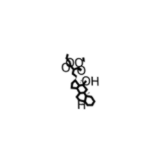 CCOC(=O)C(CC[C@H]1CCC2C3CC[C@@H]4CCCC[C@]4(C)C3CC(O)[C@@]21C)C(=O)OCC